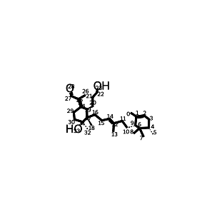 CC1=CC[C@H](C)C(C)(C)[C@@H]1CC/C(C)=C/CC[C@@]1(C)[C@H](CCCO)/C(=C(\C)C=O)CC[C@]1(C)O